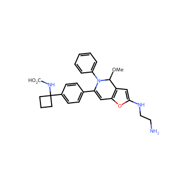 COC1c2cc(NCCN)oc2C=C(c2ccc(C3(NC(=O)O)CCC3)cc2)N1c1ccccc1